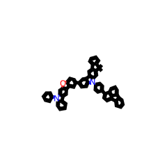 CC1(C)c2ccccc2-c2cc3c4cc(-c5ccc6oc7cc8c(cc7c6c5)c5ccccc5n8-c5ccccc5)ccc4n(-c4ccc(-c5ccc6c7c(cccc57)-c5ccccc5-6)cc4)c3cc21